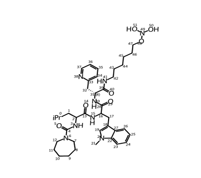 CC(C)CC(NC(=O)N1CCCCCC1)C(=O)NC(Cc1cn(C)c2ccccc12)C(=O)N[C@H](Cc1ccccn1)C(=O)NCCCCCCON(O)O